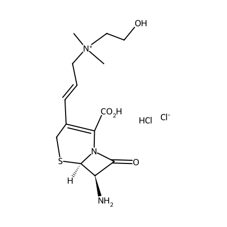 C[N+](C)(CC=CC1=C(C(=O)O)N2C(=O)[C@@H](N)[C@H]2SC1)CCO.Cl.[Cl-]